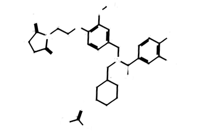 COc1cc(CN(CC2CCCCC2)[C@H](C)c2ccc(Cl)c(C)c2)ccc1OCCN1C(=O)CCC1=O.O=C(O)O